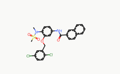 CN(c1ccc(NC(=O)c2ccc3ccccc3c2)cc1OCc1cc(Cl)ccc1Cl)S(C)(=O)=O